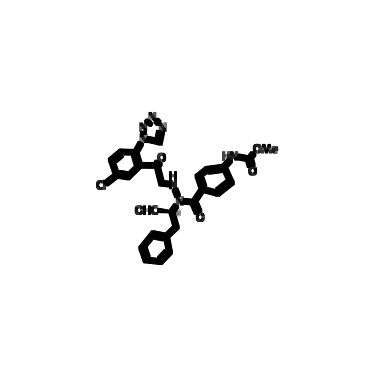 COC(=O)Nc1ccc(C(=O)N(NCC(=O)c2cc(Cl)ccc2-n2cnnn2)[C@H](C=O)Cc2ccccc2)cc1